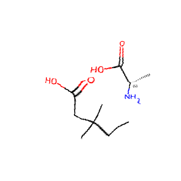 CCC(C)(C)CC(=O)O.C[C@H](N)C(=O)O